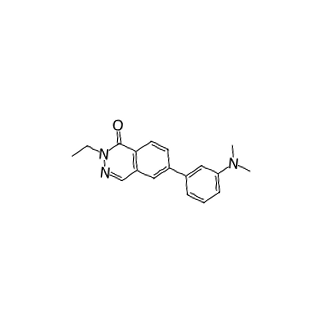 CCn1ncc2cc(-c3cccc(N(C)C)c3)ccc2c1=O